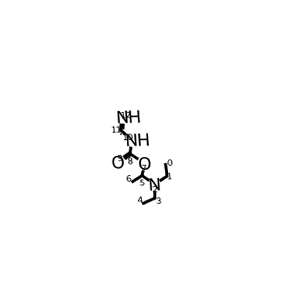 CCN(CC)C(C)OC(=O)N[C]=N